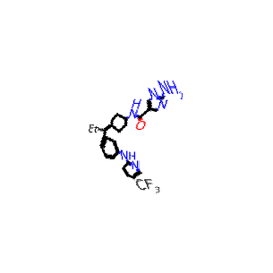 CCC(=C1CCC(NC(=O)c2cnc(N)nc2)CC1)c1cccc(Nc2ccc(C(F)(F)F)cn2)c1